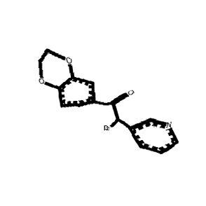 O=C(c1ccc2c(c1)OCCO2)C(Br)c1cccnc1